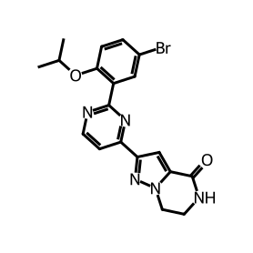 CC(C)Oc1ccc(Br)cc1-c1nccc(-c2cc3n(n2)CCNC3=O)n1